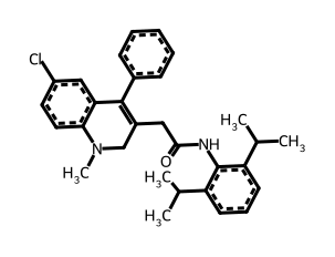 CC(C)c1cccc(C(C)C)c1NC(=O)CC1=C(c2ccccc2)c2cc(Cl)ccc2N(C)C1